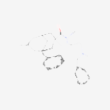 CC1CC2CC(C)(C(=O)N(C)CCN(C)Cc3ccccc3)CC(c3ccccc3)(C1)C2